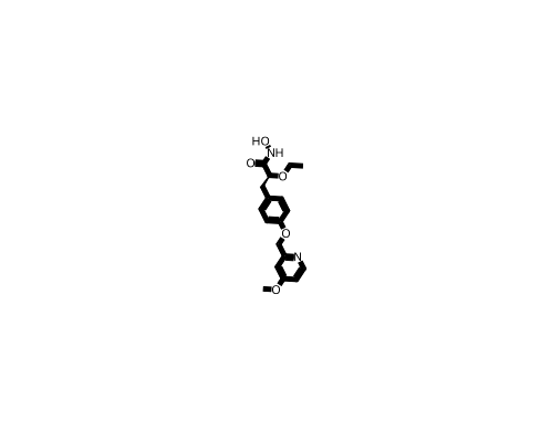 CCO[C@@H](Cc1ccc(OCc2cc(OC)ccn2)cc1)C(=O)NO